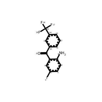 Nc1ccc(I)cc1C(=O)c1cccc(C(F)(F)F)c1